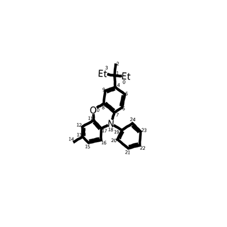 CCC(C)(CC)c1ccc2c(c1)Oc1cc(C)ccc1N2c1ccccc1